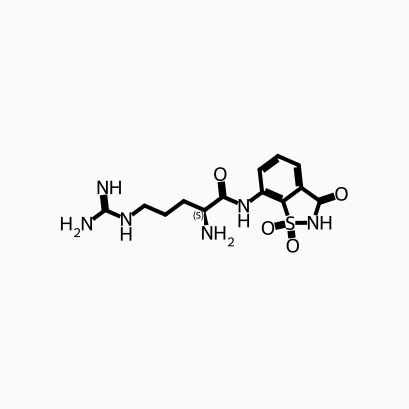 N=C(N)NCCC[C@H](N)C(=O)Nc1cccc2c1S(=O)(=O)NC2=O